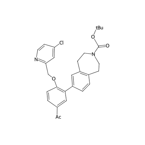 CC(=O)c1ccc(OCc2cc(Cl)ccn2)c(-c2ccc3c(c2)CCN(C(=O)OC(C)(C)C)CC3)c1